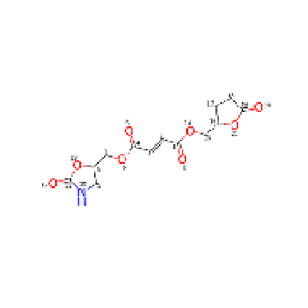 O=C(/C=C/C(=O)OCC1CNC(=O)O1)OCC1CCC(=O)O1